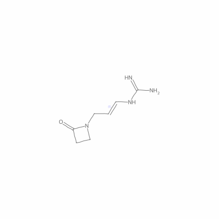 N=C(N)N/C=C/CN1CCC1=O